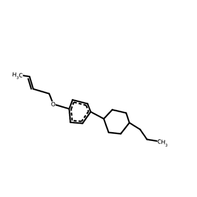 C/C=C/COc1ccc(C2CCC(CCC)CC2)cc1